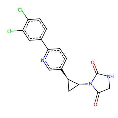 O=C1CNC(=O)N1[C@@H]1C[C@H]1c1ccc(-c2ccc(Cl)c(Cl)c2)nc1